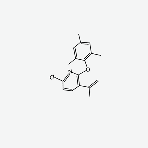 C=C(C)c1ccc(Cl)nc1Oc1c(C)cc(C)cc1C